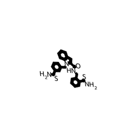 NC(=S)c1cccc(Cn2c(C(=O)NCc3ccccc3C(N)=S)cc3ccccc32)c1